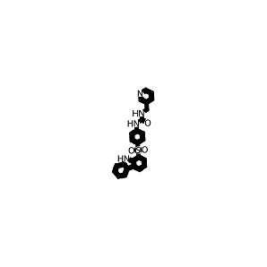 O=C(NCc1cccnc1)Nc1ccc(S(=O)(=O)c2cccc3c2[nH]c2ccccc23)cc1